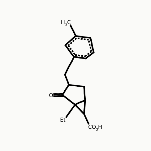 CCC12C(=O)C(Cc3cccc(C)c3)CC1C2C(=O)O